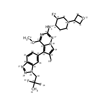 COc1nc(N[C@H]2CCN(C3COC3)C[C@@H]2F)nn2cc(F)c(-c3ccc4nnn(CC(C)(F)F)c4c3)c12